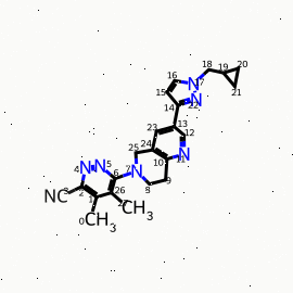 Cc1c(C#N)nnc(N2CCc3ncc(-c4ccn(CC5CC5)n4)cc3C2)c1C